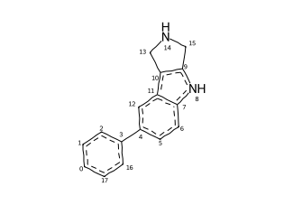 c1ccc(-c2ccc3[nH]c4c(c3c2)CNC4)cc1